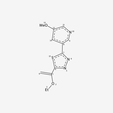 C=C(OCC)c1nnc(-c2cncc(OC)c2)s1